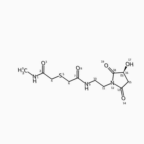 CNC(=O)CSCC(=O)NCCN1C(=O)C[C@H](O)C1=O